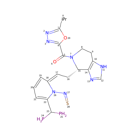 CC(C)c1nnc(C(=O)N2CCc3[nH]cnc3[C@@H]2C/C=C2/C=CC=C(C(P)P)N2N=S)o1